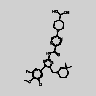 COc1c(F)cc(-c2nc(NC(=O)c3cnc(N4CCC(C(O)O)CC4)cn3)sc2CN2CCCC(C)(C)C2)cc1Cl